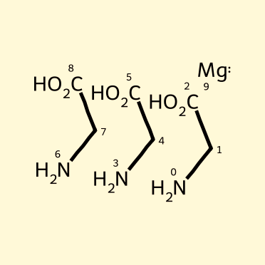 NCC(=O)O.NCC(=O)O.NCC(=O)O.[Mg]